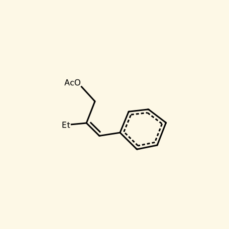 CCC(=Cc1ccccc1)COC(C)=O